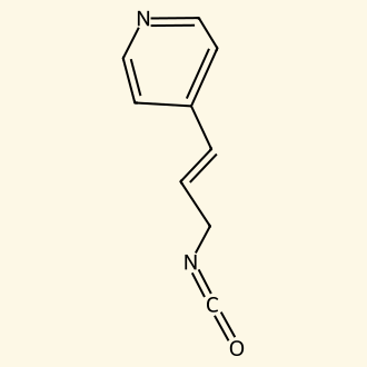 O=C=NCC=Cc1ccncc1